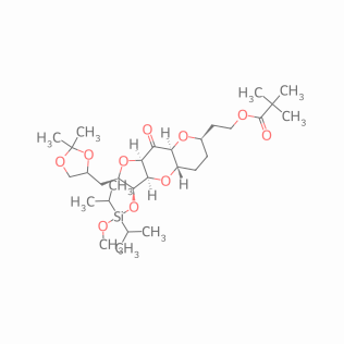 CO[Si](O[C@@H]1[C@@H]2O[C@H]3CC[C@H](CCOC(=O)C(C)(C)C)O[C@@H]3C(=O)[C@@H]2O[C@@H]1CC1COC(C)(C)O1)(C(C)C)C(C)C